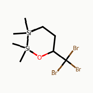 C[Si]1(C)CCC(C(Br)(Br)Br)O[Si]1(C)C